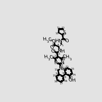 COC(=O)[C@H](CNC(=O)C1CC=CS1)NC(=O)c1c(C)nc(NCc2ccccc2-c2ccccc2O)nc1C